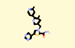 Cc1cc(-c2ncc(CN3C=C(c4cncnc4)SC3C(N)=O)cc2C)ccn1